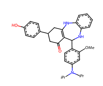 COc1cc(N(C(C)C)C(C)C)ccc1C1Nc2ccccc2NC2=C1C(=O)CC(c1ccc(O)cc1)C2